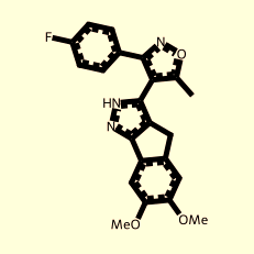 COc1cc2c(cc1OC)-c1n[nH]c(-c3c(-c4ccc(F)cc4)noc3C)c1C2